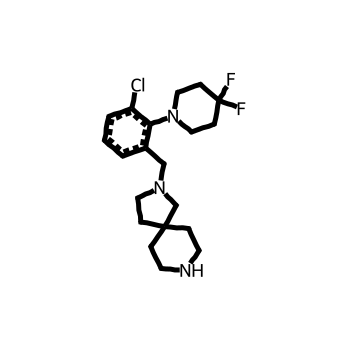 FC1(F)CCN(c2c(Cl)cccc2CN2CCC3(CCNCC3)C2)CC1